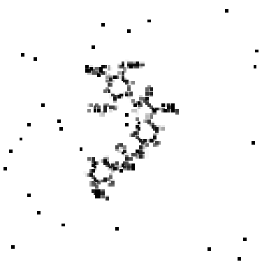 CCOC(=O)c1cc(OC)c(OC)cc1NC(=O)C(C)c1ccc(NC(=O)Nc2cccc(N)c2)cc1